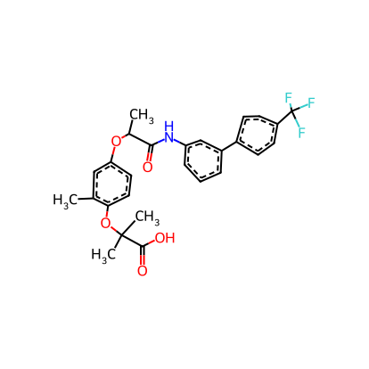 Cc1cc(OC(C)C(=O)Nc2cccc(-c3ccc(C(F)(F)F)cc3)c2)ccc1OC(C)(C)C(=O)O